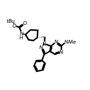 CNc1ncc2c(-c3ccccc3)nn(C[C@H]3CC[C@H](NC(=O)OC(C)(C)C)CC3)c2n1